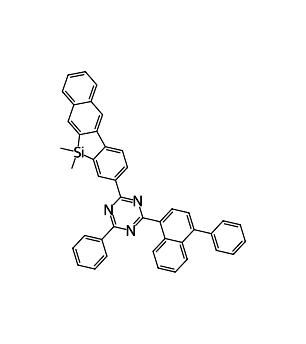 C[Si]1(C)c2cc(-c3nc(-c4ccccc4)nc(-c4ccc(-c5ccccc5)c5ccccc45)n3)ccc2-c2cc3ccccc3cc21